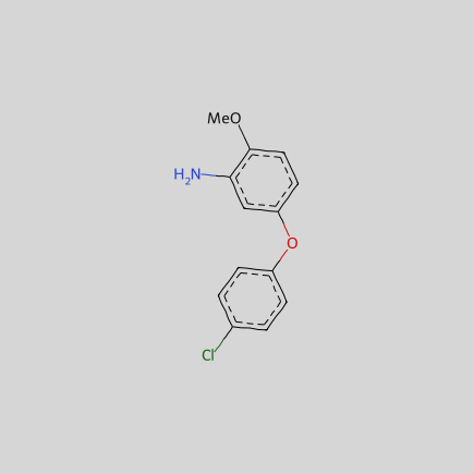 COc1ccc(Oc2ccc(Cl)cc2)cc1N